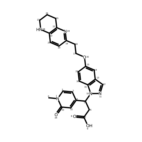 Cn1ccc(C(CC(=O)O)n2ncc3cc(OCCc4ccc5c(n4)CCCN5)ccc32)cc1=O